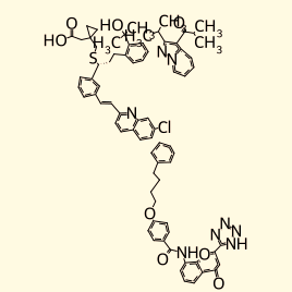 CC(C)(O)c1ccccc1CC[C@@H](SCC1(CC(=O)O)CC1)c1cccc(/C=C/c2ccc3ccc(Cl)cc3n2)c1.CC(C)C(=O)c1c(C(C)C)nn2ccccc12.O=C(Nc1cccc2c(=O)cc(-c3nnn[nH]3)oc12)c1ccc(OCCCCc2ccccc2)cc1